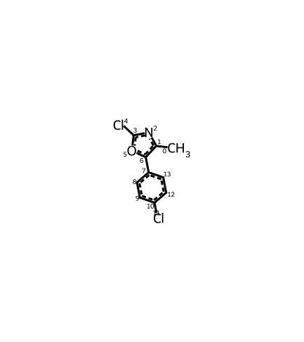 Cc1nc(Cl)oc1-c1ccc(Cl)cc1